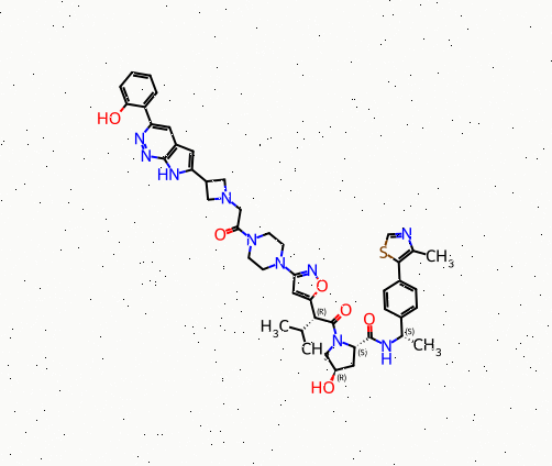 Cc1ncsc1-c1ccc([C@H](C)NC(=O)[C@@H]2C[C@@H](O)CN2C(=O)[C@@H](c2cc(N3CCN(C(=O)CN4CC(c5cc6cc(-c7ccccc7O)nnc6[nH]5)C4)CC3)no2)C(C)C)cc1